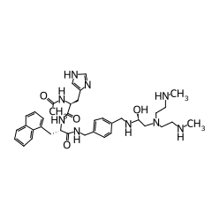 CNCCN(CCNC)C[C@H](O)NCc1ccc(CNC(=O)[C@H](Cc2cccc3ccccc23)NC(=O)[C@H](Cc2c[nH]cn2)NC(C)=O)cc1